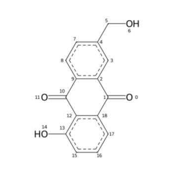 O=C1c2cc(CO)ccc2C(=O)c2c(O)cccc21